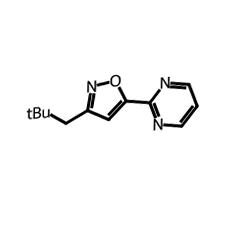 CC(C)(C)Cc1cc(-c2ncccn2)on1